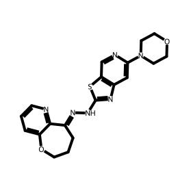 c1cnc2c(c1)OCCC/C2=N\Nc1nc2cc(N3CCOCC3)ncc2s1